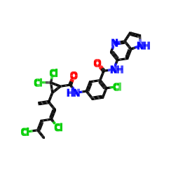 C=C(/C=C(Cl)\C=C(/C)Cl)C1C(C(=O)Nc2ccc(Cl)c(C(=O)Nc3cnc4cc[nH]c4c3)c2)C1(Cl)Cl